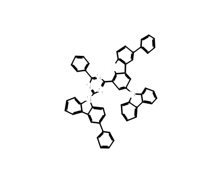 c1ccc(-c2ccc3sc4c(-c5nc(-c6ccccc6)nc(-n6c7ccccc7c7cc(-c8ccccc8)ccc76)n5)cc(-n5c6ccccc6c6ccccc65)cc4c3c2)cc1